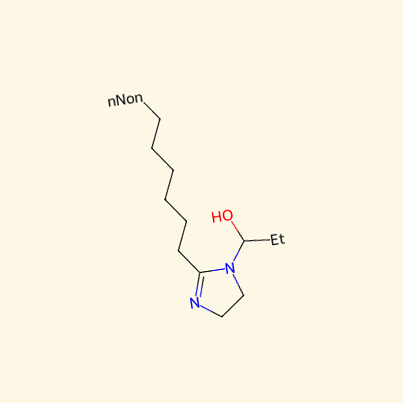 CCCCCCCCCCCCCCCC1=NCCN1C(O)CC